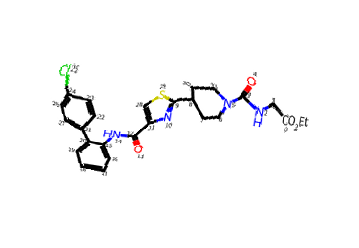 CCOC(=O)CNC(=O)N1CCC(c2nc(C(=O)Nc3ccccc3-c3ccc(Cl)cc3)cs2)CC1